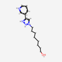 OCCCCCCCCn1cc(-c2cccnc2)nn1